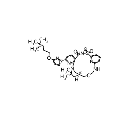 CC1(C)C[C@@H]2CCCNc3cccc(n3)S(=O)(=O)NC(=O)c3ccc(-n4ccc(OCCC[Si](C)(C)C)n4)nc3N1C2